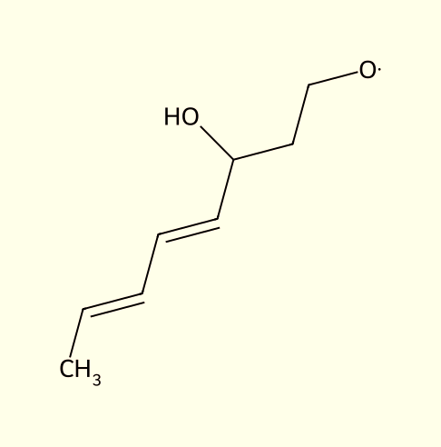 CC=CC=CC(O)CC[O]